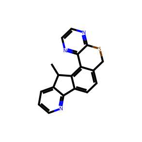 CC1c2cccnc2-c2ccc3c(c21)-c1nccnc1SC3